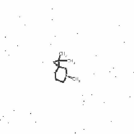 CN1CCCC2(C1)CC2(C)C